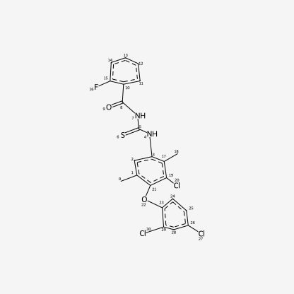 Cc1cc(NC(=S)NC(=O)c2ccccc2F)c(C)c(Cl)c1Oc1ccc(Cl)cc1Cl